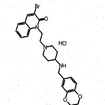 Cl.O=c1c(Br)cc2ccccc2n1CCN1CCC(NCc2ccc3c(c2)OCCO3)CC1